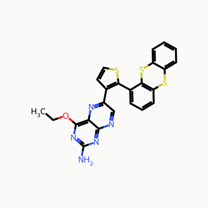 CCOc1nc(N)nc2ncc(-c3ccsc3-c3cccc4c3Sc3ccccc3S4)nc12